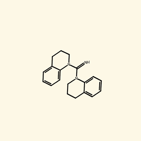 N=C(N1CCCc2ccccc21)N1CCCc2ccccc21